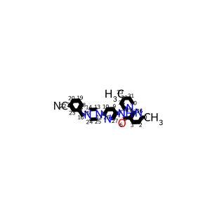 Cc1ccc(C(=O)Nc2ccc(N3CCN(Cc4cccc(C#N)c4)CC3)nc2)c(N2CCC(C)CC2)n1